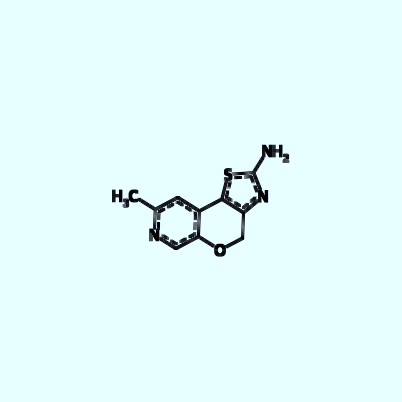 Cc1cc2c(cn1)OCc1nc(N)sc1-2